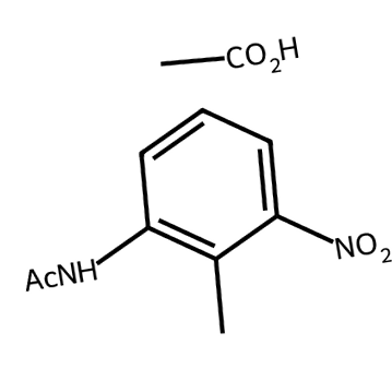 CC(=O)Nc1cccc([N+](=O)[O-])c1C.CC(=O)O